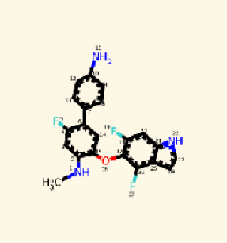 CNc1cc(F)c(-c2ccc(N)cc2)cc1Oc1c(F)cc2[nH]ccc2c1F